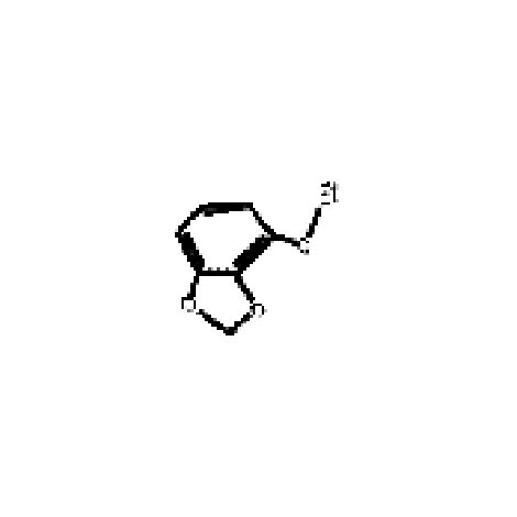 CCOc1cccc2c1OCO2